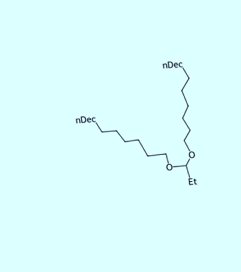 [CH2]CC(OCCCCCCCCCCCCCCCC)OCCCCCCCCCCCCCCCC